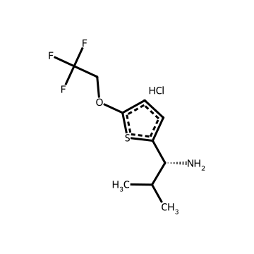 CC(C)[C@@H](N)c1ccc(OCC(F)(F)F)s1.Cl